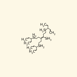 C=CC(C=C)[SiH2]CCC([SiH3])=C(CC[SiH2]C(C=C)C=C)CC[SiH2]C(C=C)C=C